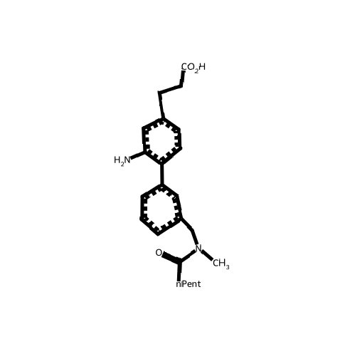 CCCCCC(=O)N(C)Cc1cccc(-c2ccc(CCC(=O)O)cc2N)c1